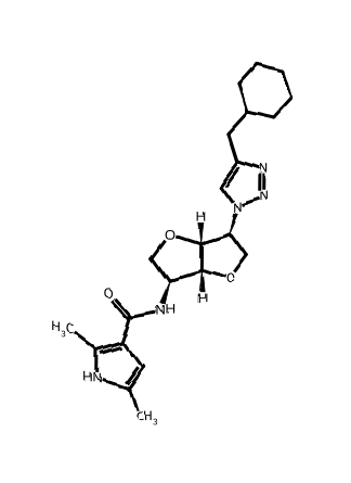 Cc1cc(C(=O)N[C@H]2CO[C@H]3[C@@H]2OC[C@@H]3n2cc(CC3CCCCC3)nn2)c(C)[nH]1